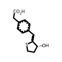 O=C(O)Cc1ccc(/C=C2\SCC[C@H]2O)cc1